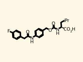 CC(C)C[C@H](NC(=O)OCc1ccc(NC(=O)Cc2ccc(F)cc2)cc1)C(=O)O